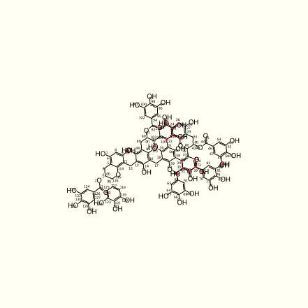 O=C(O[C@@H]1Cc2c(O)cc(O)c(Cc3c(O)c(Cc4c(O)c(Cc5c(O)cc(O)c6c5O[C@H](c5cc(O)c(O)c(O)c5)[C@H](OC(=O)c5cc(O)c(O)c(O)c5)C6)c(O)c5c4O[C@H](c4cc(O)c(O)c(O)c4)[C@H](OC(=O)c4cc(O)c(O)c(O)c4)C5)c4c(c3O)C[C@@H](OC(=O)c3cc(O)c(O)c(O)c3)[C@@H](c3cc(O)c(O)c(O)c3)O4)c2O[C@@H]1c1cc(O)c(O)c(O)c1)c1cc(O)c(O)c(O)c1